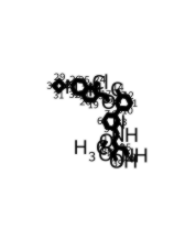 CO/C(Nc1cccc(-c2cccc(C)c2OCc2ccc3c(c2Cl)CCN(C2CCC2)C3)n1)=C(/C=N)C(=O)O